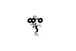 C=N/C=C\C=C(/C)S(=O)(=O)Nc1cc(Sc2ccccc2)c(O)c2ccccc12